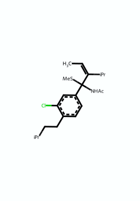 C/C=C(/C(C)C)C(NC(C)=O)(SC)c1ccc(CCC(C)C)c(Cl)c1